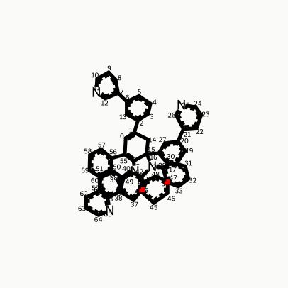 C1=C(c2cccc(-c3cccnc3)c2)CC(c2cccc(-c3cccnc3)c2)(N(c2ccccc2)c2ccccc2)C(N(c2ccccc2)c2ccccc2)=C1c1cccc(-c2cccnc2)c1